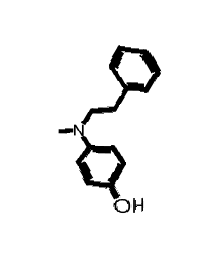 CN(CCc1ccccc1)c1ccc(O)cc1